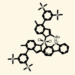 CCCCC1=Cc2c(ccc(C)c2-c2cc([Si](C)(C)C)cc([Si](C)(C)C)c2)[CH]1[Zr]([Cl])([Cl])([c]1cccc2c1[SiH2]c1ccccc1-2)[CH]1C(CCCC)=Cc2c1ccc(C)c2-c1cc([Si](C)(C)C)cc([Si](C)(C)C)c1